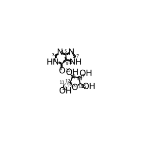 O=c1[nH]cnc2nc[nH]c12.OC[C@H]1OC(O)[C@H](O)[C@@H]1O